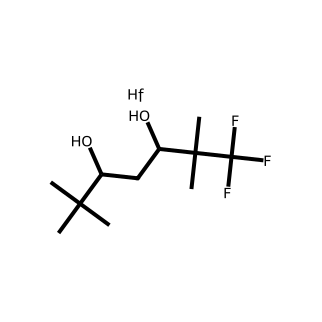 CC(C)(C)C(O)CC(O)C(C)(C)C(F)(F)F.[Hf]